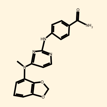 CN(c1ccnc(Nc2ccc(C(N)=O)cc2)n1)c1cccc2c1OCO2